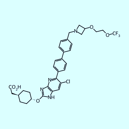 O=C(O)C[C@H]1CC[C@H](Oc2nc3nc(-c4ccc(-c5ccc(CN6CC(OCCOC(F)(F)F)C6)cc5)cc4)c(Cl)cc3[nH]2)CC1